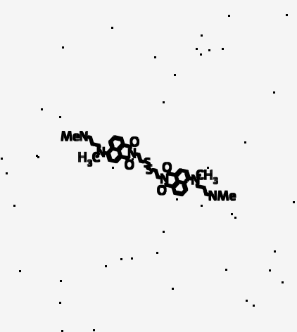 CNCCCN(C)c1ccc2c3c(cccc13)C(=O)N(CCSSCCN1C(=O)c3cccc4c(N(C)CCCNC)ccc(c34)C1=O)C2=O